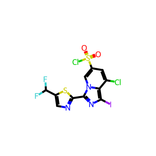 O=S(=O)(Cl)c1cc(Cl)c2c(I)nc(-c3ncc(C(F)F)s3)n2c1